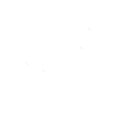 COc1cnc(C(C)(C)CCOc2ncc(C(C)(C)C)cn2)cn1